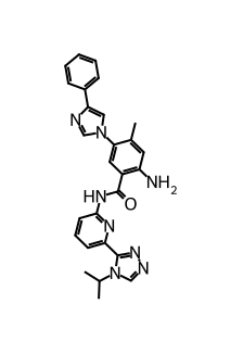 Cc1cc(N)c(C(=O)Nc2cccc(-c3nncn3C(C)C)n2)cc1-n1cnc(-c2ccccc2)c1